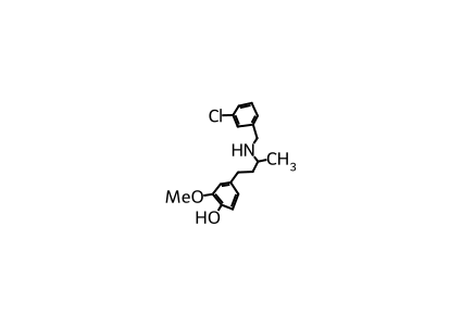 COc1cc(CCC(C)NCc2cccc(Cl)c2)ccc1O